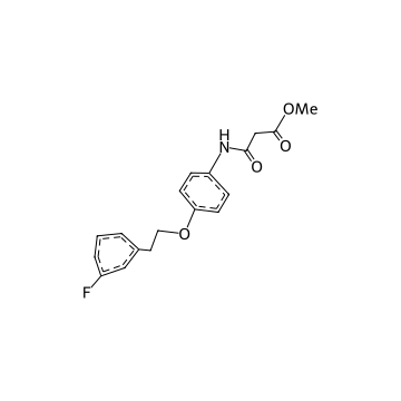 COC(=O)CC(=O)Nc1ccc(OCCc2cccc(F)c2)cc1